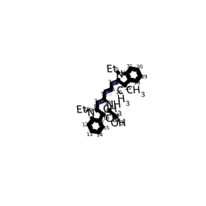 CCN1/C(=C/C=C/C(=C/C2=[N+](CC)c3ccccc3C2(C)C)NCCO)C(C)(C)c2ccccc21